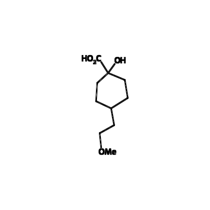 COCCC1CCC(O)(C(=O)O)CC1